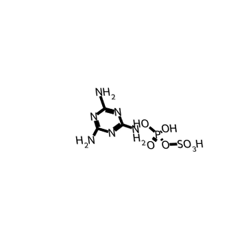 Nc1nc(N)nc(N)n1.O=P(O)(O)OS(=O)(=O)O